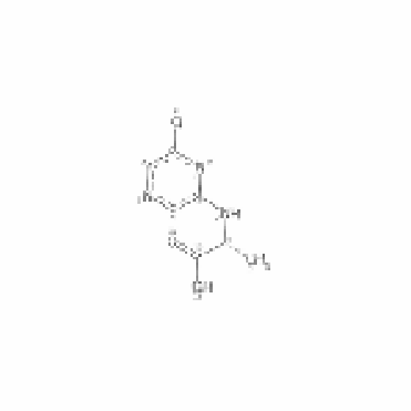 C[C@@H](Nc1cncc(Cl)n1)C(=O)O